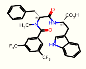 CN(C(=O)c1cc(C(F)(F)F)cc(C(F)(F)F)c1)[C@H](Cc1ccccc1)C(=O)N[C@@H](Cc1c[nH]c2ccccc12)C(=O)O